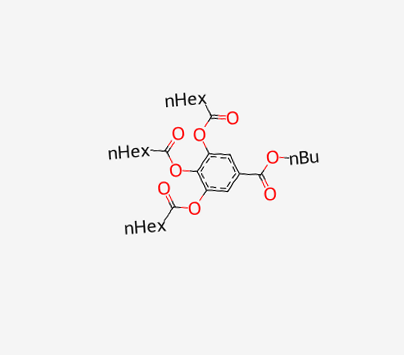 CCCCCCC(=O)Oc1cc(C(=O)OCCCC)cc(OC(=O)CCCCCC)c1OC(=O)CCCCCC